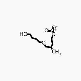 CC(CCO[N+](=O)[O-])COCCCCO